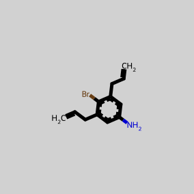 C=CCc1cc(N)cc(CC=C)c1Br